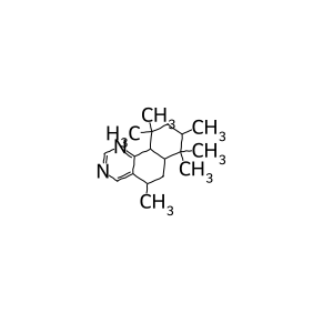 CC1CC2C(c3ncncc31)C(C)(C)CC(C)C2(C)C